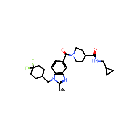 CC(C)(C)c1nc2cc(C(=O)N3CCC(C(=O)NCC4CC4)CC3)ccc2n1CC1CCC(F)(F)CC1